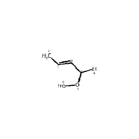 CC=CC(CC)OO